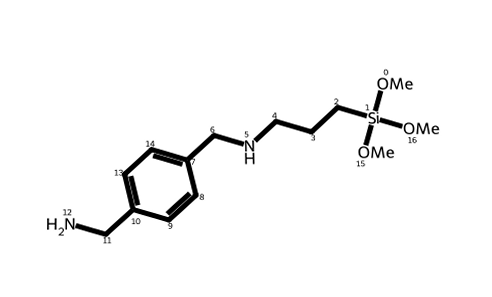 CO[Si](CCCNCc1ccc(CN)cc1)(OC)OC